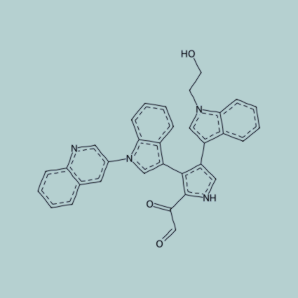 O=CC(=O)c1[nH]cc(-c2cn(CCO)c3ccccc23)c1-c1cn(-c2cnc3ccccc3c2)c2ccccc12